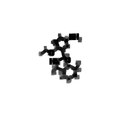 CCOc1ncc(N)cc1C(=O)NC(C)c1cccc(C)c1